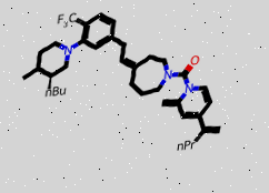 C=C(CCC)C1=CC(=C)N(C(=O)N2CCC/C(=C/Cc3ccc(C(F)(F)F)c(N4CCC(C)[C@H](CCCC)C4)c3)CC2)C=C1